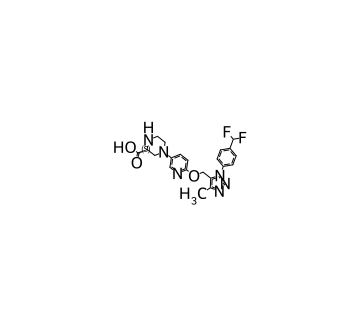 Cc1nnn(-c2ccc(C(F)F)cc2)c1COc1ccc(N2CCN[C@H](C(=O)O)C2)cn1